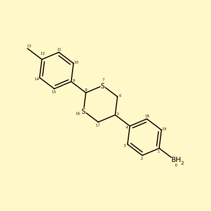 Bc1ccc(C2CSC(c3ccc(C)cc3)SC2)cc1